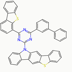 c1ccc(-c2cccc(-c3nc(-c4cccc5c4sc4ccccc45)nc(-n4c5ccccc5c5cc6sc7ccccc7c6cc54)n3)c2)cc1